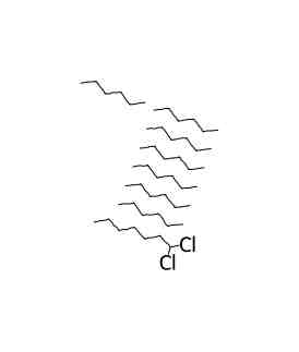 CCCCCC.CCCCCC.CCCCCC.CCCCCC.CCCCCC.CCCCCC.CCCCCC.CCCCCCC(Cl)Cl